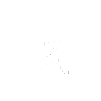 CC(C)Oc1cc(CC(NC(=O)CNC(=O)c2cccc(NC=NN)c2)C(=O)O)cc(OC(C)C)c1